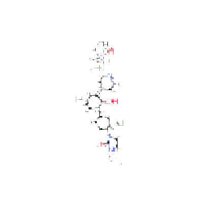 CC[C@@]1(O)CCN(c2cc(-c3cc(F)cc(-c4ccc(-n5ccn(C)c5=O)c(Cl)c4)c3O)ccn2)C1